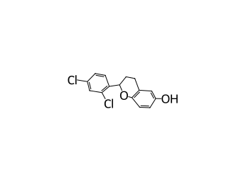 Oc1ccc2c(c1)CCC(c1ccc(Cl)cc1Cl)O2